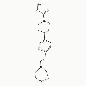 CC(C)(C)OC(=O)N1CCC(c2ccc(CCN3CCOCC3)cc2)CC1